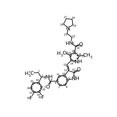 CCC(NC(=O)c1ccc2c(c1)C(=Cc1[nH]c(C)c(C(=O)NCCN3CCCC3)c1C)C(=O)N2)c1ccc(F)c(F)c1